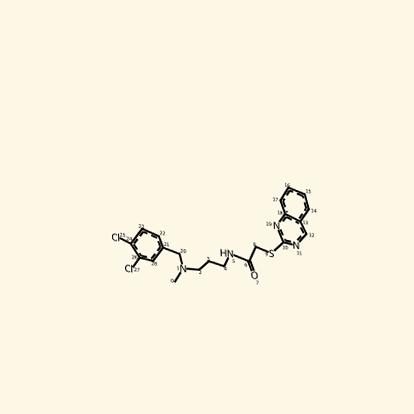 CN(CCCNC(=O)CSc1ncc2ccccc2n1)Cc1ccc(Cl)c(Cl)c1